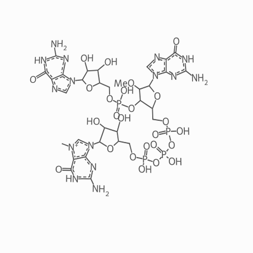 COC1C(OP(=O)(O)OCC2OC(n3cnc4c(=O)[nH]c(N)nc43)C(O)C2O)C(COP(=O)(O)OP(=O)(O)OP(=O)(O)OCC2OC(n3c[n+](C)c4c(=O)[nH]c(N)nc43)C(O)C2O)OC1n1cnc2c(=O)[nH]c(N)nc21